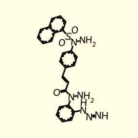 N=NNc1ccccc1N(N)C(=O)/C=C/c1ccc(N(N)S(=O)(=O)c2cccc3ccccc23)cc1